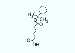 CC(C)(OC(=O)CCCCC(=O)O)C1CCCCC1